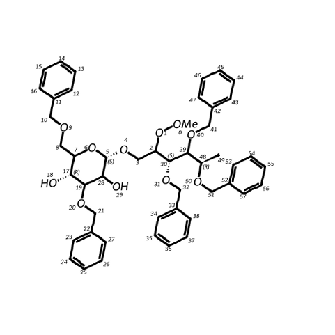 COOC(CO[C@H]1OC(COCc2ccccc2)[C@@H](O)C(OCc2ccccc2)C1O)[C@@H](OCc1ccccc1)C(OCc1ccccc1)[C@@H](C)OCc1ccccc1